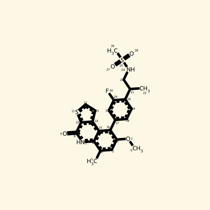 COc1cc(C)c2[nH]c(=O)c3sccc3c2c1-c1ccc(C(C)CNS(C)(=O)=O)c(F)c1